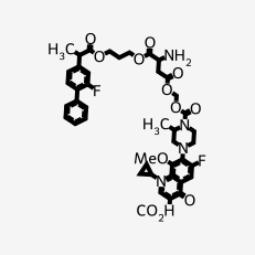 COc1c(N2CCN(C(=O)OCOC(=O)CC(N)C(=O)OCCCOC(=O)C(C)c3ccc(-c4ccccc4)c(F)c3)C(C)C2)c(F)cc2c(=O)c(C(=O)O)cn(C3CC3)c12